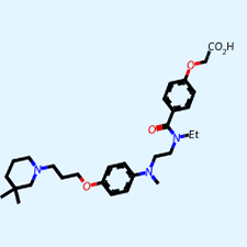 CCN(CCN(C)c1ccc(OCCCN2CCCC(C)(C)C2)cc1)C(=O)c1ccc(OCC(=O)O)cc1